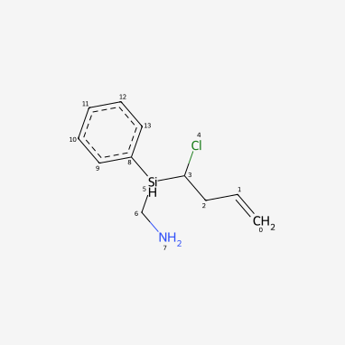 C=CCC(Cl)[SiH](CN)c1ccccc1